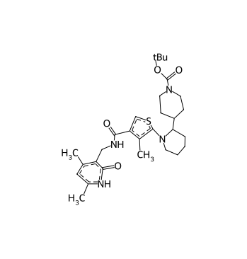 Cc1cc(C)c(CNC(=O)c2csc(N3CCCCC3C3CCN(C(=O)OC(C)(C)C)CC3)c2C)c(=O)[nH]1